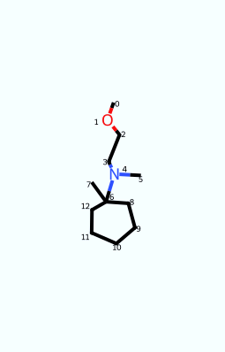 COCCN(C)C1(C)CCCCC1